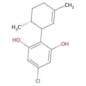 CC1=CC(c2c(O)cc(Cl)cc2O)[C@H](C)CC1